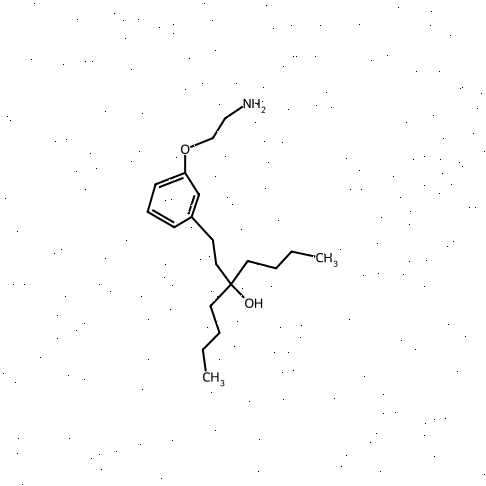 CCCCC(O)(CCCC)CCc1cccc(OCCN)c1